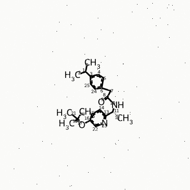 CC(C)c1ccc(CC(=O)N[C@H](C)c2ccc(OC(C)(C)C)cn2)cc1